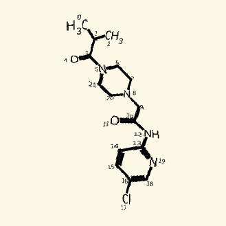 CC(C)C(=O)N1CCN(CC(=O)Nc2ccc(Cl)cn2)CC1